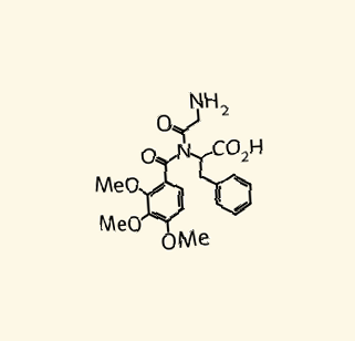 COc1ccc(C(=O)N(C(=O)CN)C(Cc2ccccc2)C(=O)O)c(OC)c1OC